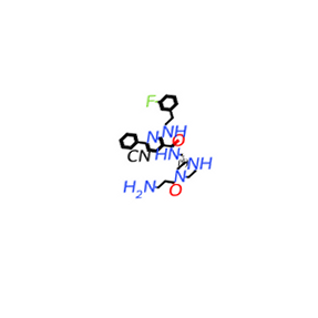 N#Cc1ccccc1-c1ccc(C(=O)NC[C@H]2CN(C(=O)CCN)CCN2)c(NCCc2cccc(F)c2)n1